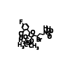 C[Si](C)(C)Oc1c(C(Br)CCN[SH](=O)=O)oc(-c2ccc(F)cc2Cl)c1O